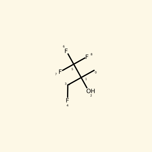 CC(O)([CH]F)C(F)(F)F